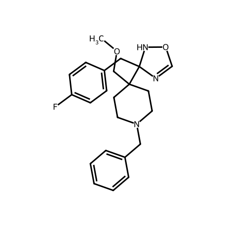 COCC1(C2(Cc3ccc(F)cc3)N=CON2)CCN(Cc2ccccc2)CC1